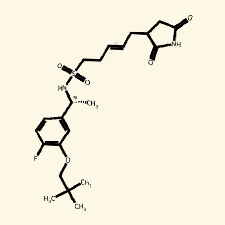 C[C@@H](NS(=O)(=O)CC/C=C/CC1CC(=O)NC1=O)c1ccc(F)c(OCC(C)(C)C)c1